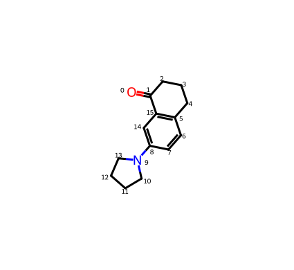 O=C1CCCc2ccc(N3CCCC3)cc21